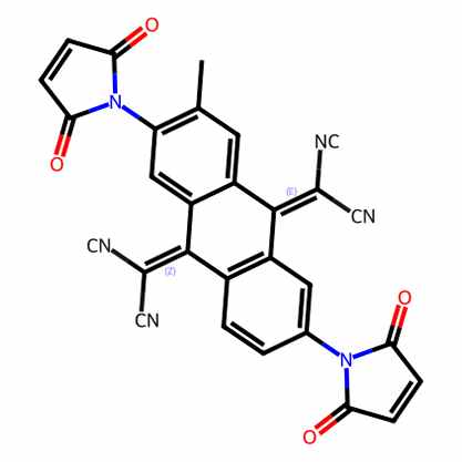 [C-]#[N+]/C(C#N)=c1/c2ccc(N3C(=O)C=CC3=O)cc2/c(=C(\C#N)[N+]#[C-])c2cc(C)c(N3C(=O)C=CC3=O)cc12